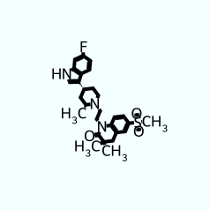 C[C@H]1C[C@H](c2c[nH]c3cc(F)ccc23)CCN1CCN1C(=O)C(C)(C)Cc2cc(S(C)(=O)=O)ccc21